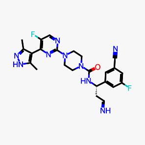 Cc1n[nH]c(C)c1-c1nc(N2CCN(C(=O)N[C@@H](CC=N)c3cc(F)cc(C#N)c3)CC2)ncc1F